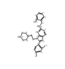 Fc1ccc(-c2nc3cnc(NCc4ccccc4Cl)nc3n2CCC2CCNCC2)c(F)c1